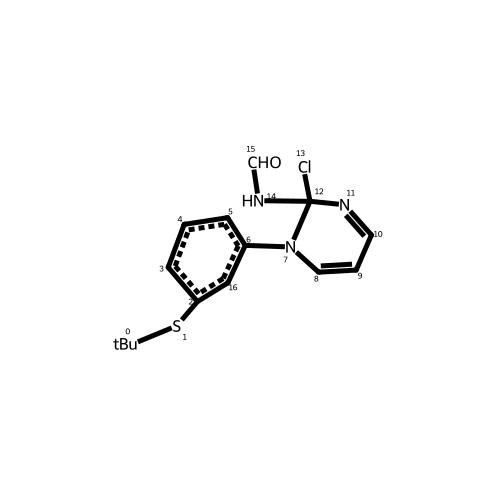 CC(C)(C)Sc1cccc(N2C=CC=NC2(Cl)NC=O)c1